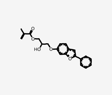 C=C(C)C(=O)OCC(O)COc1ccc2cc(-c3ccccc3)oc2c1